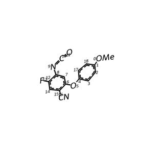 COc1ccc(Oc2cc(N=C=O)c(F)cc2C#N)cc1